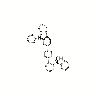 CN(c1ccccc1)c1ccccc1-c1ccc(-c2ccc3c4ccccc4n(-c4ccccc4)c3c2)cc1